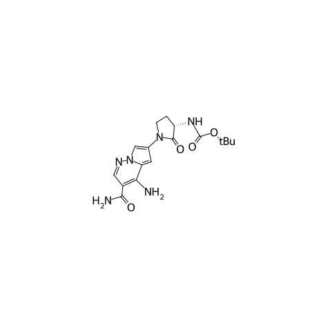 CC(C)(C)OC(=O)N[C@H]1CCN(c2cc3c(N)c(C(N)=O)cnn3c2)C1=O